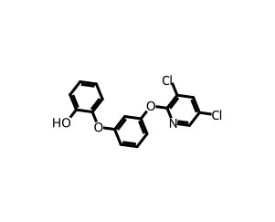 Oc1ccccc1Oc1cccc(Oc2ncc(Cl)cc2Cl)c1